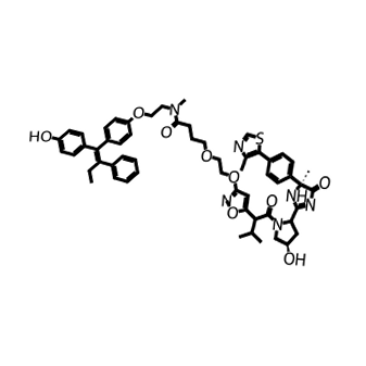 CC/C(=C(\c1ccc(O)cc1)c1ccc(OCCN(C)C(=O)CCCOCCOc2cc(C(C(=O)N3C[C@H](O)CC3C3=NC(=O)[C@](C)(c4ccc(-c5scnc5C)cc4)N3)C(C)C)on2)cc1)c1ccccc1